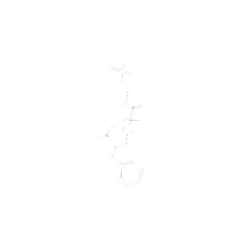 CC(C)(C(=O)NCCS(=O)(=O)O)S(=O)(=O)CC(Cc1ccccc1)C(=O)O